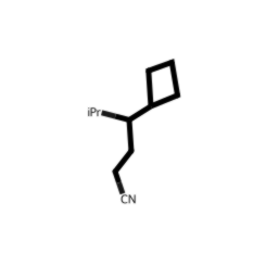 CC(C)C(CCC#N)C1CCC1